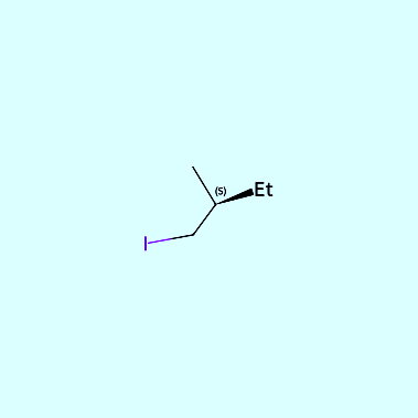 CC[C@H](C)CI